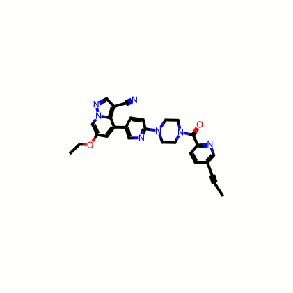 CC#Cc1ccc(C(=O)N2CCN(c3ccc(-c4cc(OCC)cn5ncc(C#N)c45)cn3)CC2)nc1